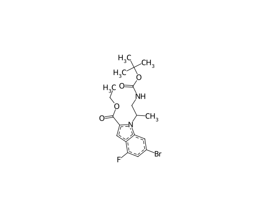 CCOC(=O)c1cc2c(F)cc(Br)cc2n1C(C)CNC(=O)OC(C)(C)C